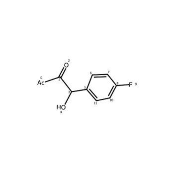 CC(=O)C(=O)C(O)c1ccc(F)cc1